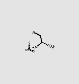 CC(C)CC(N)C(=O)O.[S]=[Mo]=[S]